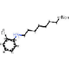 CCCCCCCCCCCCCCCCNc1ccccc1CC